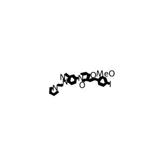 COc1cc(I)ccc1-c1cc2c(=O)n(-c3ccc4c(cnn4CCN4CCCC4)c3)ccc2o1